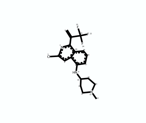 C=C(c1nc(Cl)cc2c(NC3CCN(C)CC3)cccc12)C(F)(F)F